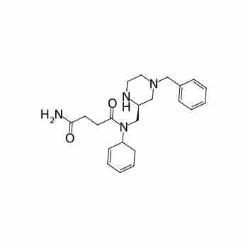 NC(=O)CCC(=O)N(C[C@@H]1CN(Cc2ccccc2)CCN1)C1C=CC=CC1